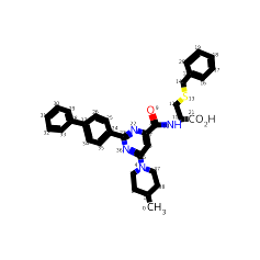 CC1CCN(c2cc(C(=O)NC(CSCc3ccccc3)C(=O)O)nc(-c3ccc(-c4ccccc4)cc3)n2)CC1